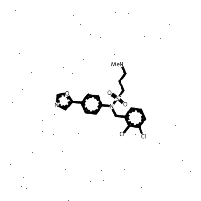 CNCCCS(=O)(=O)N(Cc1cccc(Cl)c1Cl)c1ccc(-c2cnco2)cc1